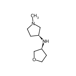 CN1CC[C@H](N[C@H]2CCOC2)C1